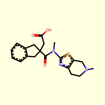 CN1CCc2nc(N(C)C(=O)C3(CC(=O)O)Cc4ccccc4C3)sc2C1